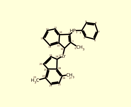 CC1=C(Pc2ccccc2)c2ccccc2[CH]1[Zr][CH]1C=Cc2c(C)ccc(C)c21